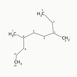 [CH2]C(CC)CCC(C)CCC